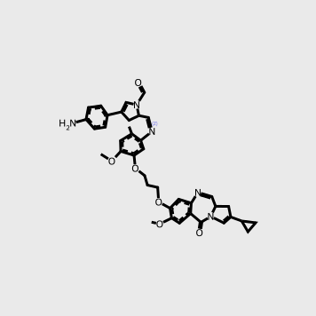 COc1cc2c(cc1OCCCOc1cc(/N=C\C3CC(c4ccc(N)cc4)=CN3C=O)c(C)cc1OC)N=CC1CC(C3CC3)=CN1C2=O